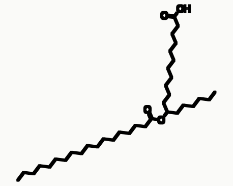 CCCCCCCCCCCCCCCCCC(=O)OC(CCCCCC)CCCCCCCCCCC(=O)O